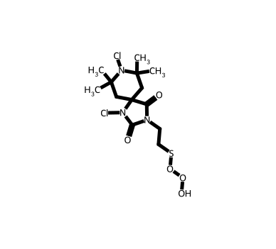 CC1(C)CC2(CC(C)(C)N1Cl)C(=O)N(CCSOOO)C(=O)N2Cl